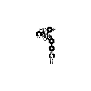 O=C1c2cc(-c3ccc(N4CCNCC4)cc3)ccc2CN1[C@@H](c1cc2cccnc2[nH]1)c1cc(F)ccc1O